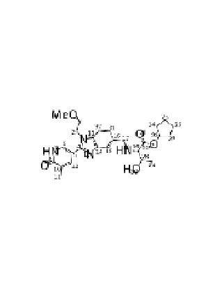 COCCn1c(-c2c[nH]c(=O)c(C)c2)nc2cc(CN[C@H](C(=O)OC3CCCC3)[C@@H](C)O)ccc21